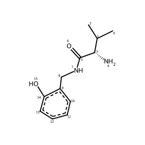 CC(C)[C@H](N)C(=O)NCc1ccccc1O